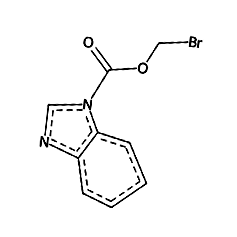 O=C(OCBr)n1cnc2ccccc21